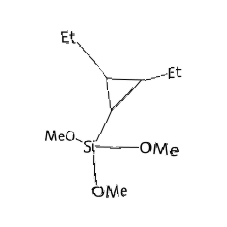 CCC1C(CC)C1[Si](OC)(OC)OC